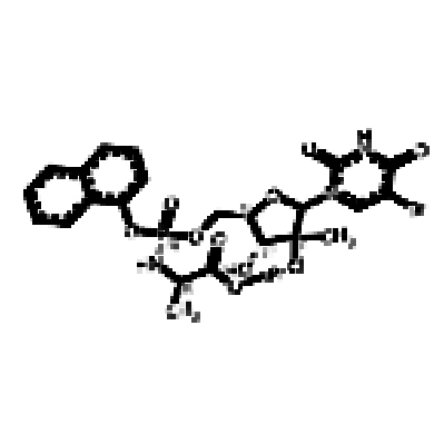 CC(C)OC(=O)[C@@H](C)N[P@](=O)(OC[C@H]1OC(n2cc(Br)c(=O)[nH]c2=O)[C@](C)(Cl)[C@@H]1O)Oc1cccc2ccccc12